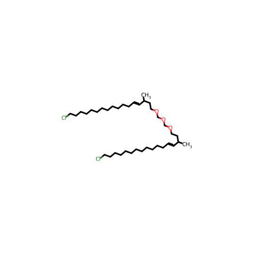 CC(C=CCCCCCCCCCCCCCl)CCOCOCOCCC(C)C=CCCCCCCCCCCCCCl